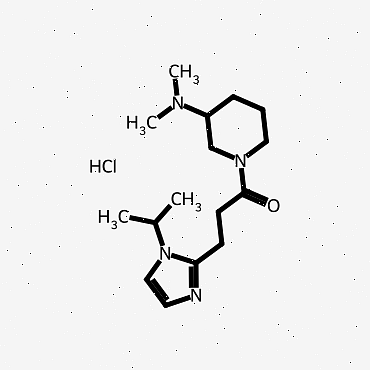 CC(C)n1ccnc1CCC(=O)N1CCCC(N(C)C)C1.Cl